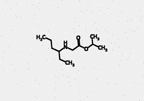 CCCC(CC)NCC(=O)OC(C)C